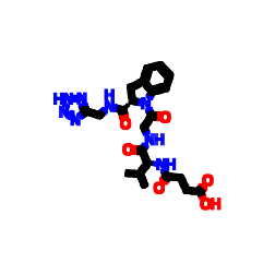 CC(C)[C@H](NC(=O)CCC(=O)O)C(=O)NCC(=O)N1c2ccccc2C[C@H]1C(=O)NCc1nn[nH]n1